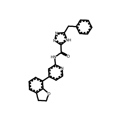 O=C(Nc1cc(-c2cccc3c2OCC3)ccn1)c1nnc(Cc2ccccc2)[nH]1